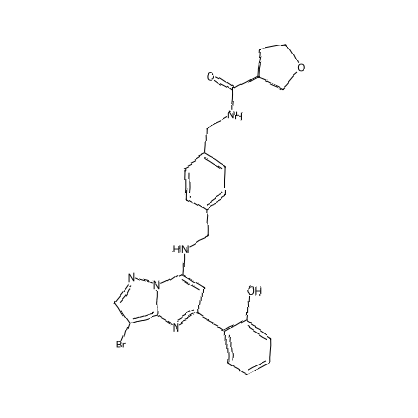 O=C(NCc1ccc(CNc2cc(-c3ccccc3O)nc3c(Br)cnn23)cc1)C1CCOC1